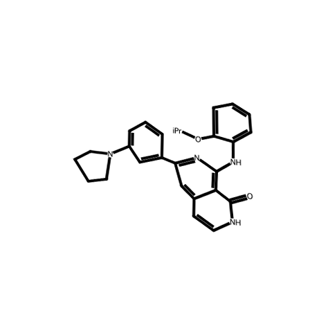 CC(C)Oc1ccccc1Nc1nc(-c2cccc(N3CCCC3)c2)cc2cc[nH]c(=O)c12